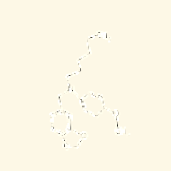 CCCCCCN(Cc1ccc2c(c1)OCO2)C1=CCC(OC)C=C1